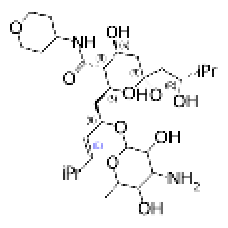 CC(C)/C=C/[C@@H](C[C@@H]1O[C@](O)(C[C@@H](O)C(C)C)C[C@H](O)[C@H]1C(=O)NC1CCOCC1)OC1OC(C)C(O)C(N)C1O